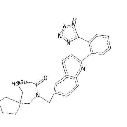 CCCCC(=O)N(Cc1ccc2nc(-c3ccccc3-c3nnn[nH]3)ccc2c1)CC1(CO)CCCC1